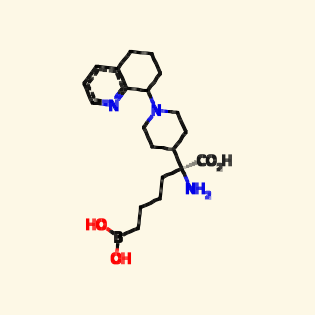 N[C@](CCCCB(O)O)(C(=O)O)C1CCN(C2CCCc3cccnc32)CC1